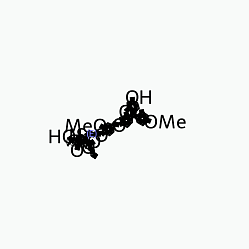 C=CCOC(=O)C1=C(/C=C/COc2ccc(COc3ccc4c(c3)OC3=CC(O)C=CC3=C4c3ccc(OC)cc3C)cc2OC)S[C@@H]2[C@@H]([C@@H](C)O)C(=O)N12